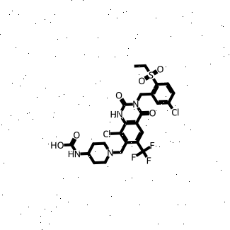 CCS(=O)(=O)c1ccc(Cl)cc1Cn1c(=O)[nH]c2c(Cl)c(CN3CCC(NC(=O)O)CC3)c(C(F)(F)F)cc2c1=O